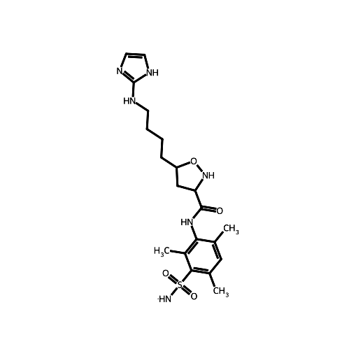 Cc1cc(C)c(S([NH])(=O)=O)c(C)c1NC(=O)C1CC(CCCCNc2ncc[nH]2)ON1